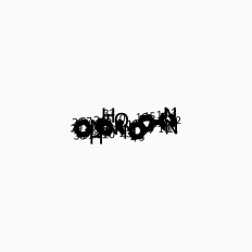 O=C(CN1CCc2cc(-c3cncnc3)ccc2C1)N1C[C@H]2C[C@@H]1CN2C1CCCCC1